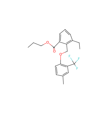 CCCOC(=O)c1cccc(CC)c1COc1ccc(C)cc1C(F)(F)F